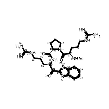 CC(=O)N[C@@H](CCCNC(=N)N)C(=O)N1CCC[C@H]1C(=O)N[C@H](CCCNC(=N)N)C(=O)c1nc2ccccc2s1